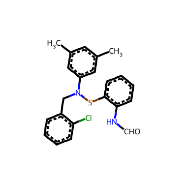 Cc1cc(C)cc(N(Cc2ccccc2Cl)Sc2ccccc2NC=O)c1